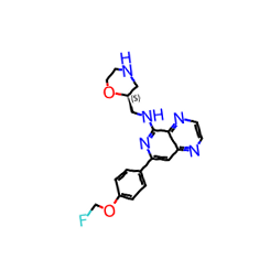 FCOc1ccc(-c2cc3nccnc3c(NC[C@@H]3CNCCO3)n2)cc1